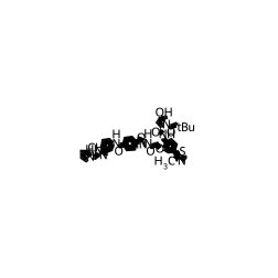 Cc1ncsc1-c1ccc(CNC(=O)[C@@H]2CC(O)CN2C(=O)CC(C)(C)C)c(OCC(=O)NNC(=O)c2ccc(C(=O)Nc3ccc4[nH]c(CN5CCC[C@@H]5C)nc4c3)cc2)c1